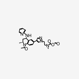 CC(=O)N1c2ccc(-c3cnn(CCN(C)C(=O)OC=O)c3)cc2[C@H](Nc2ccccn2)C[C@@H]1C